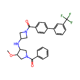 COC1CN(C(=O)c2ccccc2)CC1NC1CN(C(=O)c2ccc(-c3cccc(C(F)(F)F)c3)cc2)C1